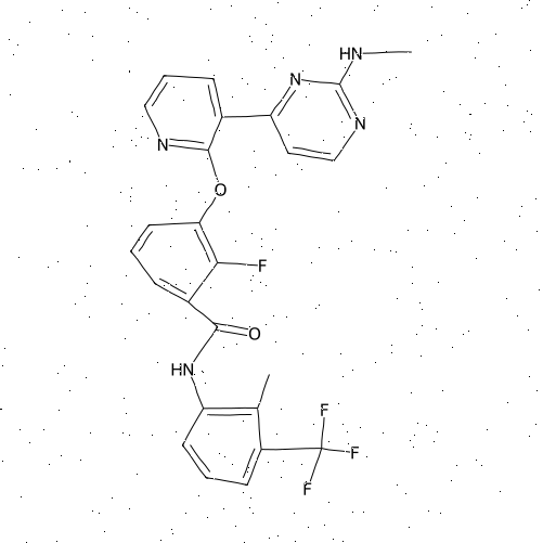 CNc1nccc(-c2cccnc2Oc2cccc(C(=O)Nc3cccc(C(F)(F)F)c3C)c2F)n1